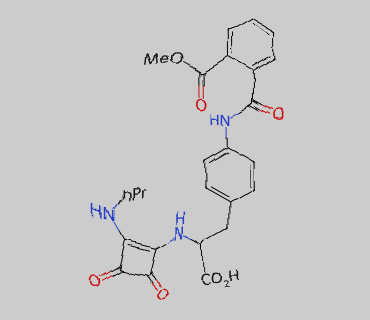 CCCNc1c(NC(Cc2ccc(NC(=O)c3ccccc3C(=O)OC)cc2)C(=O)O)c(=O)c1=O